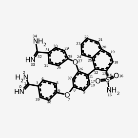 N=C(N)c1ccc(Oc2ccc(-c3c(S(N)(=O)=O)ccc4ccccc34)c(Oc3ccc(C(=N)N)cc3)c2)cc1